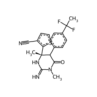 CN1C(=N)N[C@](C)(c2sccc2C#N)C(c2ccc(C(C)(F)F)cc2)C1=O